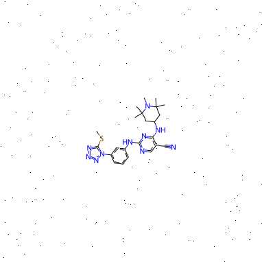 CSc1nnnn1-c1cccc(Nc2ncc(C#N)c(NC3CC(C)(C)N(C)C(C)(C)C3)n2)c1